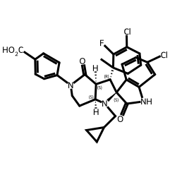 CC1([C@H]2[C@@H]3C(=O)N(c4ccc(C(=O)O)cc4)CC[C@@H]3N(CC3CC3)[C@@]23C(=O)Nc2cc(Cl)ccc23)CC=CC(Cl)=C1F